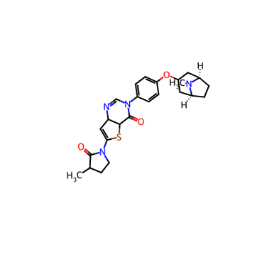 CC1CCN(C2=CC3N=CN(c4ccc(OC5C[C@H]6CC[C@@H](C5)N6C)cc4)C(=O)C3S2)C1=O